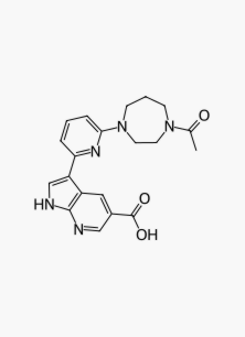 CC(=O)N1CCCN(c2cccc(-c3c[nH]c4ncc(C(=O)O)cc34)n2)CC1